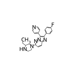 CCC1CN(c2ccc3nc(-c4ccc(F)cc4)c(-c4ccncc4)n3n2)CCN1